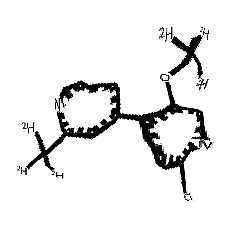 [2H]C([2H])([2H])Oc1cnc(Cl)cc1-c1ccnc(C([2H])([2H])[2H])c1